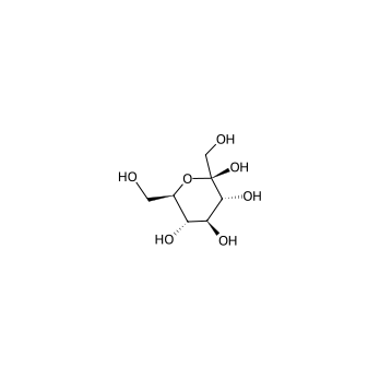 OC[C@H]1O[C@](O)(CO)[C@H](O)[C@@H](O)[C@@H]1O